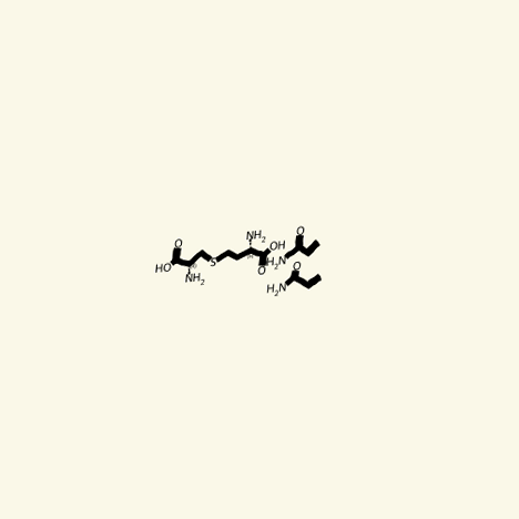 C=CC(N)=O.C=CC(N)=O.N[C@@H](CCSC[C@H](N)C(=O)O)C(=O)O